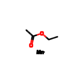 CCOC(C)=O.[Mn]